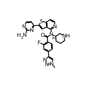 Cn1cc(-c2ccc(C(=O)N(c3nccc4sc(-c5ccnc(N)n5)cc34)[C@@H]3CCCNC3)c(F)c2)nn1